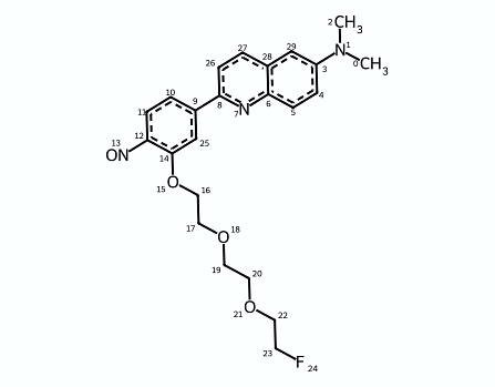 CN(C)c1ccc2nc(-c3ccc(N=O)c(OCCOCCOCCF)c3)ccc2c1